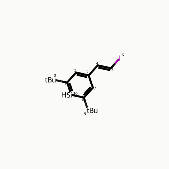 CC(C)(C)c1cc(/C=C/I)cc(C(C)(C)C)[siH]1